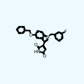 O=C1C=C(c2cn(Cc3cccc(F)c3)c3ccc(OCc4ccccc4)cc23)C(=O)N1